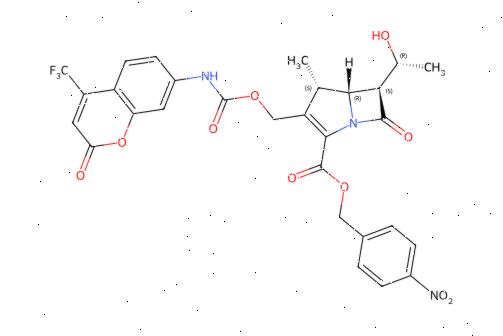 C[C@@H](O)[C@H]1C(=O)N2C(C(=O)OCc3ccc([N+](=O)[O-])cc3)=C(COC(=O)Nc3ccc4c(C(F)(F)F)cc(=O)oc4c3)[C@H](C)[C@H]12